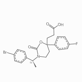 C[C@@H](c1ccc(Br)cc1)N1CCC(CCC(=O)O)(c2ccc(F)cc2)OC1=O